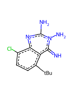 CC(C)(C)c1ccc(Cl)c2nc(N)n(N)c(=N)c12